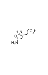 NC(=O)C[C@H](N)CC(=O)O